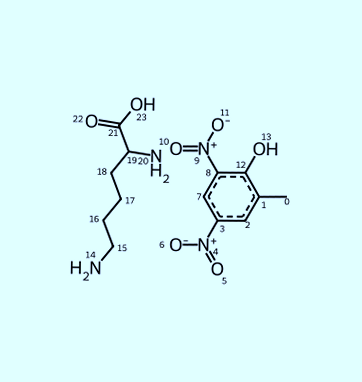 Cc1cc([N+](=O)[O-])cc([N+](=O)[O-])c1O.NCCCCC(N)C(=O)O